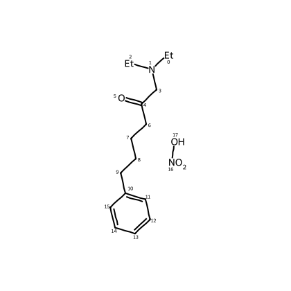 CCN(CC)CC(=O)CCCCc1ccccc1.O=[N+]([O-])O